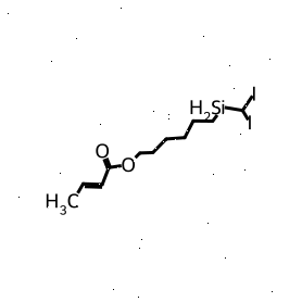 CC=CC(=O)OCCCCCC[SiH2]C(I)I